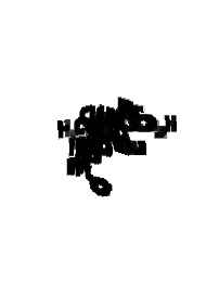 CC(C)[C@H](NC(=O)N[C@H](C(=O)N1CC2C([C@H]1C(=O)N[C@@H](CC(F)F)C(=O)NCCc1ccccc1)C2(C)C)C(C)(C)C)C(=O)O